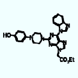 CCOC(=O)Cn1cnc2c(-n3cnc4ccccc43)nc(N3CCN(c4ccc(O)cc4)CC3)nc21